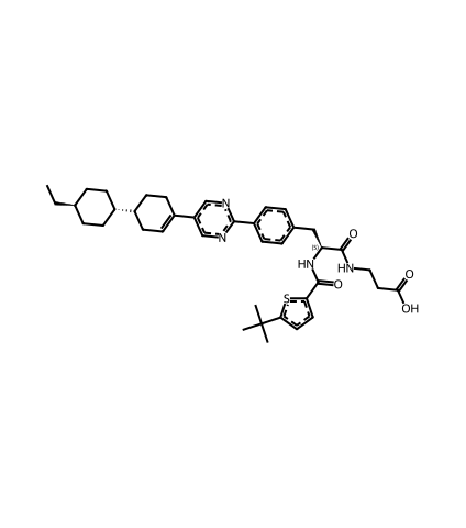 CC[C@H]1CC[C@H](C2CC=C(c3cnc(-c4ccc(C[C@H](NC(=O)c5ccc(C(C)(C)C)s5)C(=O)NCCC(=O)O)cc4)nc3)CC2)CC1